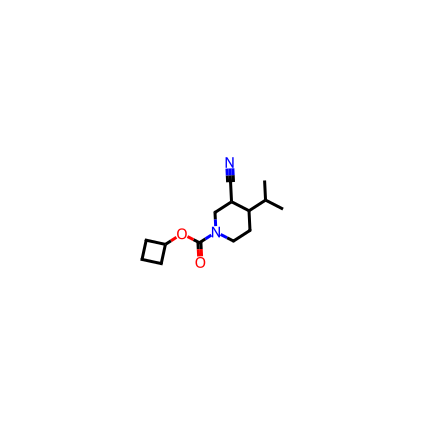 CC(C)C1CCN(C(=O)OC2CCC2)CC1C#N